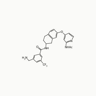 CC(=O)Nc1cc(Oc2ccc3c(c2)CC(NC(=O)c2cc(CN)cc(C(F)(F)F)c2)CC3)ccn1